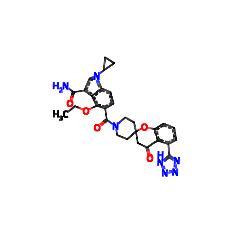 CCOc1c(C(=O)N2CCC3(CC2)CC(=O)c2c(cccc2-c2nnn[nH]2)O3)ccc2c1c(C(N)=O)cn2C1CC1